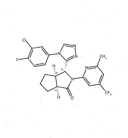 Cc1cc(C(F)(F)F)cc(N2C(=O)[C@H]3CCC[C@H]3[C@@H]2c2nncn2-c2ccc(F)c(Cl)c2)n1